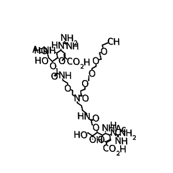 C#CCOCCOCCOCCOCCC(=O)N(CCCCNC(=O)CO[C@@H]([C@@H]1OC(C(=O)O)=C[C@H](NC(=N)N)[C@H]1NC(C)=O)[C@H](O)CO)CCOCCNC(=O)CO[C@@H]([C@@H]1OC(C(=O)O)=C[C@H](NC(=N)N)[C@H]1NC(C)=O)[C@H](O)CO